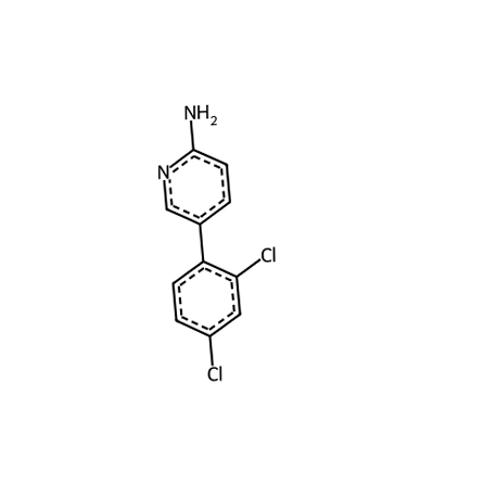 Nc1ccc(-c2ccc(Cl)cc2Cl)cn1